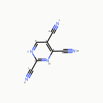 N#Cc1ncc(C#N)c(C#N)n1